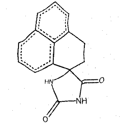 O=C1NC(=O)C2(CCc3cccc4cccc2c34)N1